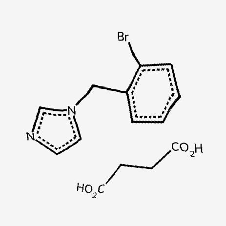 Brc1ccccc1Cn1ccnc1.O=C(O)CCC(=O)O